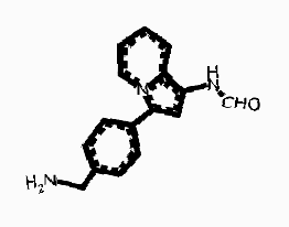 NCc1ccc(-c2cc(NC=O)c3ccccn23)cc1